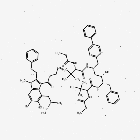 CCOC(=O)c1c(CSc2ccccc2)n(C)c2cc(Br)c(O)c(CN(C)C)c12.COC(=O)N[C@H](C(=O)N[C@@H](Cc1ccccc1)[C@@H](O)CN(Cc1ccc(-c2ccccn2)cc1)NC(=O)[C@@H](NC(=O)OC)C(C)(C)C)C(C)(C)C.Cl